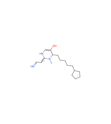 CN1/C(=C/C=N)NC=C(O)C1CCCCCC1CCCC1